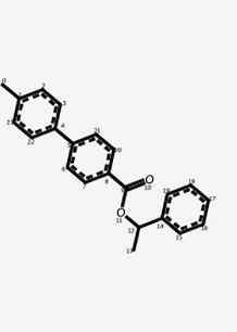 Cc1ccc(-c2ccc(C(=O)OC(C)c3ccccc3)cc2)cc1